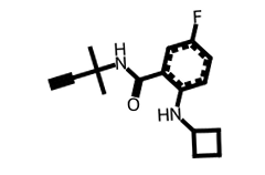 C#CC(C)(C)NC(=O)c1cc(F)ccc1NC1CCC1